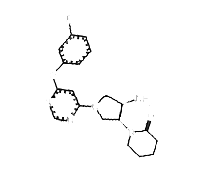 N[C@@H]1CN(c2cc(Oc3cccc(F)c3)ncn2)C[C@@H]1N1CCCCC1=O